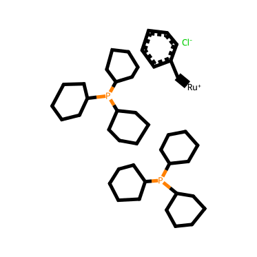 C1CCC(P(C2CCCCC2)C2CCCCC2)CC1.C1CCC(P(C2CCCCC2)C2CCCCC2)CC1.[Cl-].[Ru+]#[C]c1ccccc1